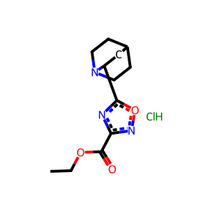 CCOC(=O)c1noc(C2CC3CCN2CC3)n1.Cl